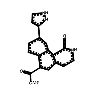 COC(=O)c1cc2cc[nH]c(=O)c2c2cc(-c3cc[nH]n3)ccc12